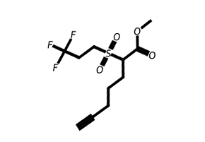 C#CCCCC(C(=O)OC)S(=O)(=O)CCC(F)(F)F